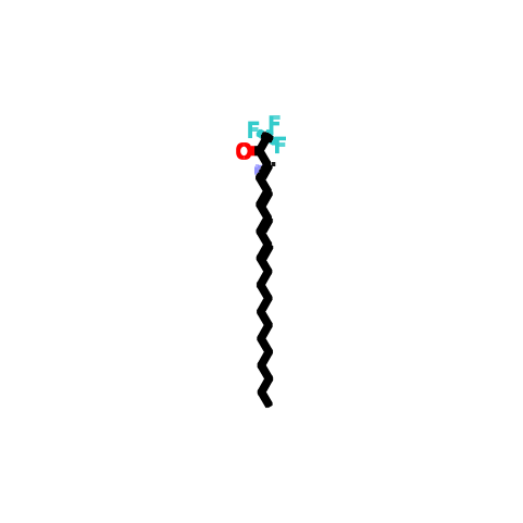 CCCCCCCCCCCC=CC=CC=C/C=[C]/C(=O)C(F)(F)F